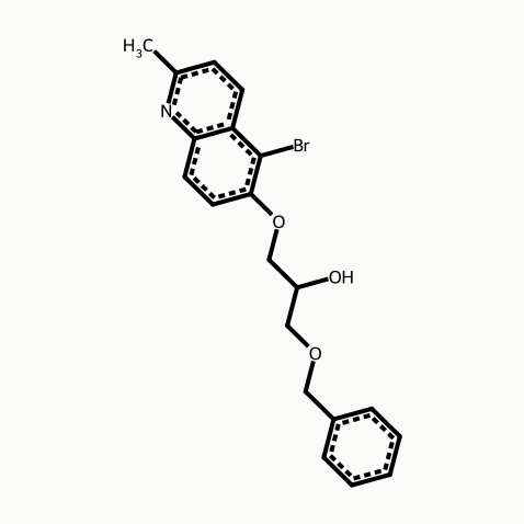 Cc1ccc2c(Br)c(OCC(O)COCc3ccccc3)ccc2n1